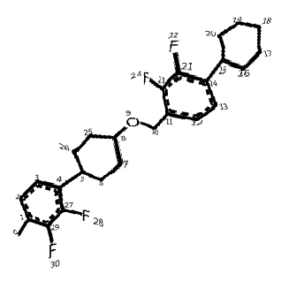 Cc1ccc(C2CCC(OCc3ccc(C4CCCCC4)c(F)c3F)CC2)c(F)c1F